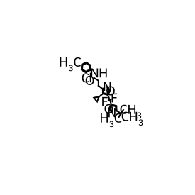 Cc1ccc(NC(=O)CCc2noc(C(F)(F)c3cc(C(C)(C)C)no3)c2C2CC2)c(Cl)c1